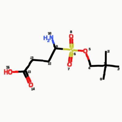 CC(C)(C)COS(=O)(=O)C(N)CCC(=O)O